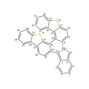 c1ccc2c(c1)cn1c3ccc4sc5ccccc5c4c3c3c(ccc4c5ccccc5sc43)c21